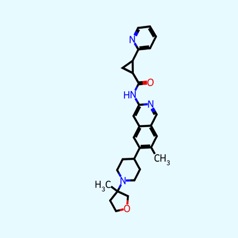 Cc1cc2cnc(NC(=O)C3CC3c3ccccn3)cc2cc1C1CCN(C2(C)CCOC2)CC1